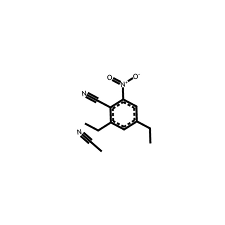 CC#N.CCc1cc(CC)c(C#N)c([N+](=O)[O-])c1